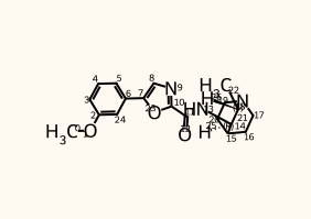 COc1cccc(-c2cnc(C(=O)N[C@@H]3C4CCN(CC4)[C@H]3C)o2)c1